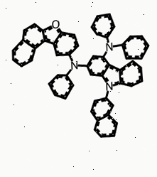 c1ccc(N(c2ccc3oc4ccc5ccccc5c4c3c2)c2cc(N(c3ccccc3)c3ccccc3)c3c4ccccc4n(-c4ccc5ccccc5c4)c3c2)cc1